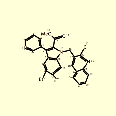 CCc1cc2c(-c3cccnc3)c(C(=O)OC)n(Cc3cc4ccccc4nc3Cl)c2cc1F